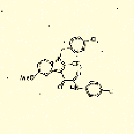 COc1ccc2c(c1)c(C(=O)C(=O)Nc1ccc(Cl)cc1)c(C(F)(F)F)n2Cc1ccc(Cl)cc1